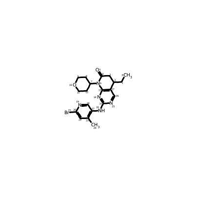 CCC1CC(=O)N(C2CCOCC2)c2nc(Nc3cnc(Br)cc3C)ncc21